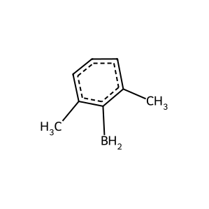 Bc1c(C)cccc1C